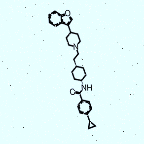 O=C(N[C@H]1CC[C@H](CCN2CCC(c3coc4ccccc34)CC2)CC1)c1ccc(C2CC2)cc1